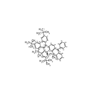 CC(C)(C)c1ccc2c(c1)-c1cc(C(C)(C)C)cc3c1N1B2c2ccc4c(c2-c2cc(C(C)(C)C)cc(c21)C3(C)C)C(C)(C)c1ccccc1N4c1ccccc1